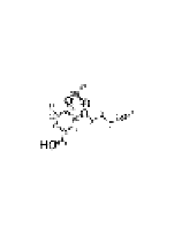 C#CCCCOc1cc(CO)cc(C)c1OC(C)=O